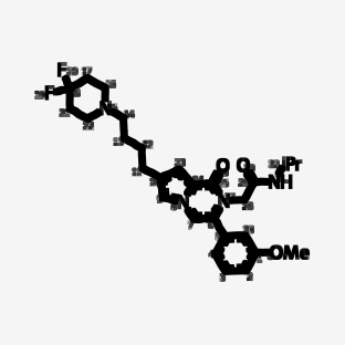 COc1cccc(-c2cn3cc(CCCCN4CCC(F)(F)CC4)cc3c(=O)n2CC(=O)NC(C)C)c1